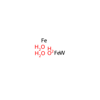 O.O.O.[Fe].[Fe].[W]